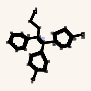 [O]c1ccc(/C(=C(/CCCl)c2ccccc2)c2ccc(Cl)cc2)cc1